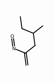 C=C(CC(C)CC)N=O